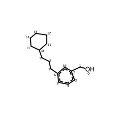 OCc1cccc(CCCC2CCCCC2)c1